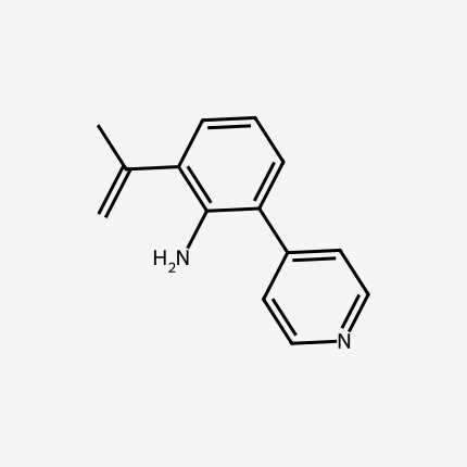 C=C(C)c1cccc(-c2ccncc2)c1N